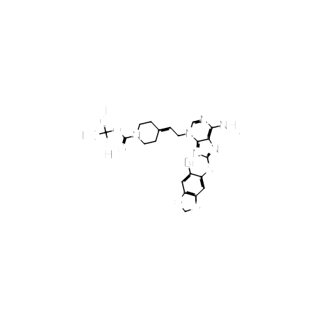 CC(C)(C)OC(=O)N1CCC(=CCn2cnc(N)c3nc(Sc4cc5c(cc4Br)OCO5)nc2-3)CC1